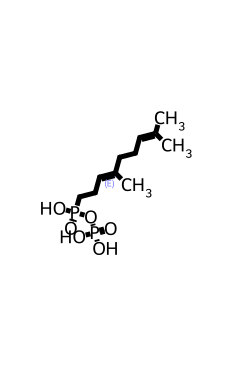 CC(C)=CCC/C(C)=C/CCP(=O)(O)OP(=O)(O)O